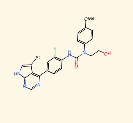 CCc1c[nH]c2ncnc(-c3ccc(NC(=O)N(CCO)c4ccc(OC)cc4)c(F)c3)c12